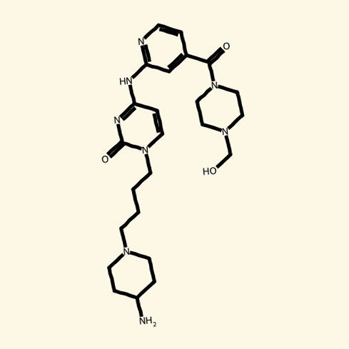 NC1CCN(CCCCn2ccc(Nc3cc(C(=O)N4CCN(CO)CC4)ccn3)nc2=O)CC1